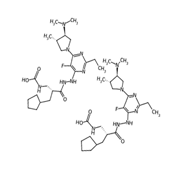 CCc1nc(NNC(=O)[C@@H](CNC(=O)O)CC2CCCC2)c(F)c(N2C[C@H](C)[C@@H](N(C)C)C2)n1.CCc1nc(NNC(=O)[C@@H](CNC(=O)O)CC2CCCC2)c(F)c(N2C[C@H](C)[C@@H](N(C)C)C2)n1